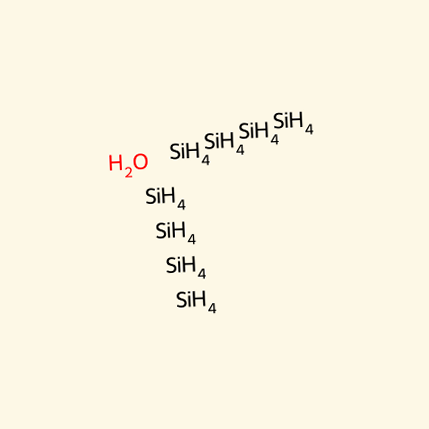 O.[SiH4].[SiH4].[SiH4].[SiH4].[SiH4].[SiH4].[SiH4].[SiH4]